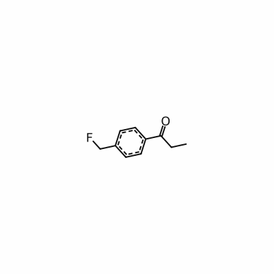 CCC(=O)c1ccc(CF)cc1